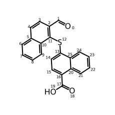 O=Cc1ccc2ccccc2c1Sc1ccc(C(=O)O)c2ccccc12